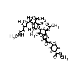 CNCCCC[C@@H](C)C(=O)N[C@H](C(=O)N(C)[C@H](C[C@@H](OC(C)=O)c1nc(C(=O)N[C@H]2CC[C@H](C(=O)OC)CC2)cs1)C(C)C)C(C)C